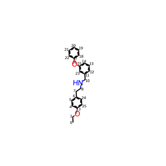 CCOc1ccc(CCNCc2cccc(Oc3ccccc3)c2)cc1